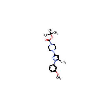 COc1cccc(-n2nc(N3CCN(C(=O)OC(C)(C)C)CC3)cc2C)c1